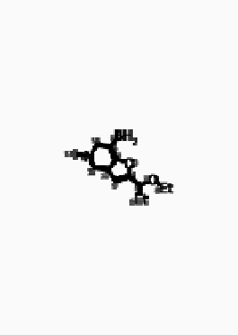 BC1=c2oc(C(CC)OCC)cc2=CN(I)C1